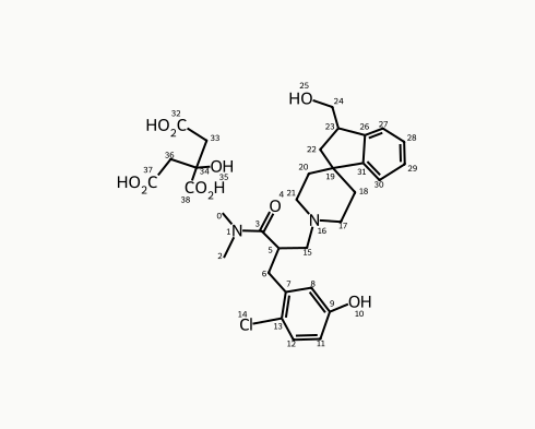 CN(C)C(=O)C(Cc1cc(O)ccc1Cl)CN1CCC2(CC1)CC(CO)c1ccccc12.O=C(O)CC(O)(CC(=O)O)C(=O)O